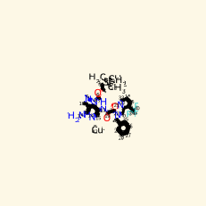 C[Si](C)(C)CCOCn1ncc2c(N)ncc(NC(=O)C(=O)N(Cc3ccccc3)Cc3ncccc3C(F)(F)F)c21.[Cu]